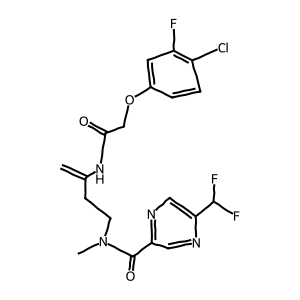 C=C(CCN(C)C(=O)c1cnc(C(F)F)cn1)NC(=O)COc1ccc(Cl)c(F)c1